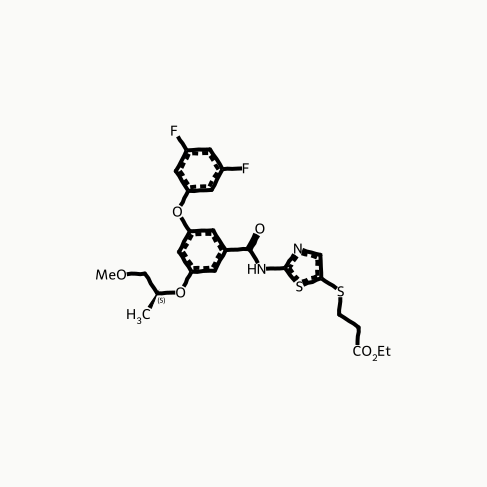 CCOC(=O)CCSc1cnc(NC(=O)c2cc(Oc3cc(F)cc(F)c3)cc(O[C@@H](C)COC)c2)s1